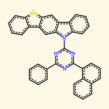 c1ccc(-c2nc(-c3cccc4ccccc34)nc(-n3c4ccccc4c4cc5sc6ccccc6c5cc43)n2)cc1